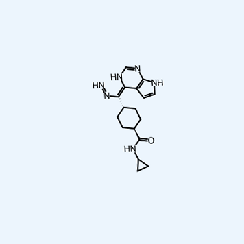 N=N/C(=C1\NC=Nc2[nH]ccc21)[C@H]1CC[C@H](C(=O)NC2CC2)CC1